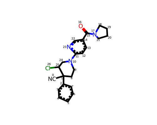 N#CC1(c2ccccc2)CCN(c2ccc(C(=O)N3CCCC3)cn2)CC1Cl